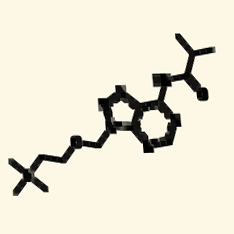 CC(C)C(=O)Nc1ncnc2c1nnn2COCC[Si](C)(C)C